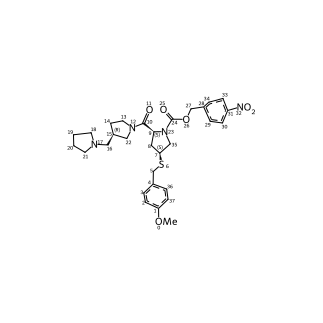 COc1ccc(CS[C@H]2C[C@@H](C(=O)N3CC[C@H](CN4CCCC4)C3)N(C(=O)OCc3ccc([N+](=O)[O-])cc3)C2)cc1